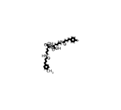 Cc1ccc(CCCC(=O)NCCCC[C@H](NN[C@@H](CCCCNC(=O)CCCc2ccc(I)cc2)C(=O)O)C(=O)O)cc1